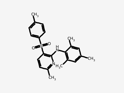 Cc1ccc(S(=O)(=O)c2ccc(C)nc2Nc2c(C)cc(C)cc2C)cc1